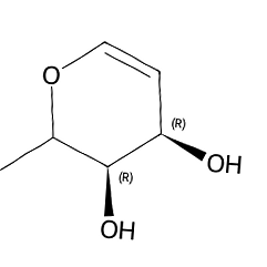 CC1OC=C[C@@H](O)[C@H]1O